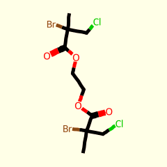 CC(Br)(CCl)C(=O)OCCOC(=O)C(C)(Br)CCl